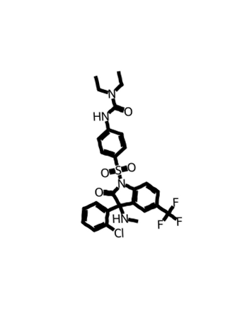 CCN(CC)C(=O)Nc1ccc(S(=O)(=O)N2C(=O)C(NC)(c3ccccc3Cl)c3cc(C(F)(F)F)ccc32)cc1